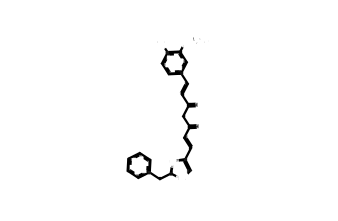 COc1cc(/C=C/C(=O)CC(=O)/C=C/C2=COC(Cc3ccccc3)O2)ccc1O